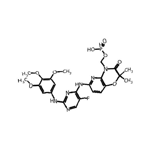 COc1cc(Nc2ncc(F)c(Nc3ccc4c(n3)N(CO[PH](=O)O)C(=O)C(C)(C)O4)n2)cc(OC)c1OC